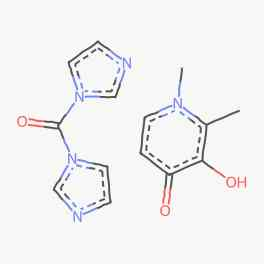 Cc1c(O)c(=O)ccn1C.O=C(n1ccnc1)n1ccnc1